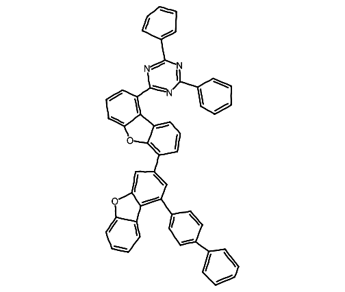 c1ccc(-c2ccc(-c3cc(-c4cccc5c4oc4cccc(-c6nc(-c7ccccc7)nc(-c7ccccc7)n6)c45)cc4oc5ccccc5c34)cc2)cc1